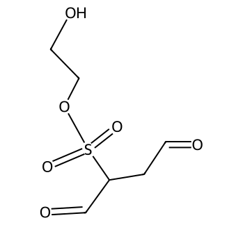 O=CCC(C=O)S(=O)(=O)OCCO